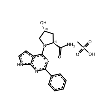 CS(=O)(=O)O.NC(=O)[C@@H]1C[C@@H](O)CN1c1nc(-c2ccccc2)nc2[nH]ccc12